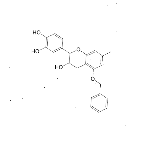 Cc1cc(OCc2ccccc2)c2c(c1)OC(c1ccc(O)c(O)c1)C(O)C2